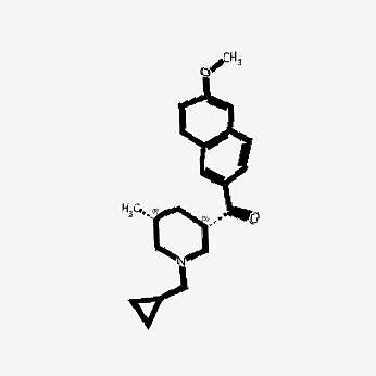 COC1=Cc2ccc(C(=O)[C@H]3C[C@@H](C)CN(CC4CC4)C3)cc2CC1